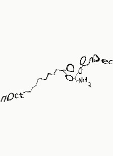 CCCCCCCCC=CCCCCCCCC(=O)OC(CN)COC(=O)CCCCCCCCCCC